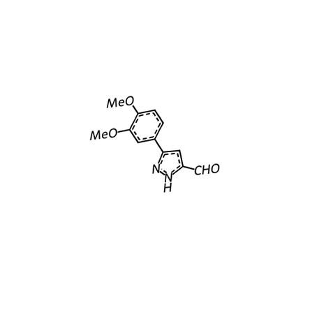 COc1ccc(-c2cc(C=O)[nH]n2)cc1OC